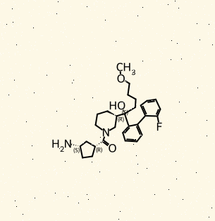 COCCCC[C@@](O)(c1ccccc1-c1ccccc1F)[C@@H]1CCCN(C(=O)[C@@H]2CC[C@H](N)C2)C1